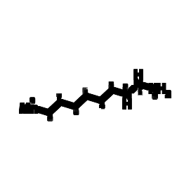 NNNCCCCC[CH2][Mn]